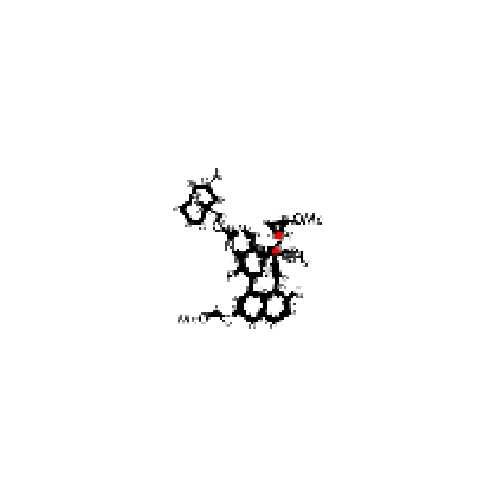 COCOc1cc(-c2nc(N(C)[C@@H]3C[C@H]3OC)c3cnc(OC[C@@]45CCCN4C[C@H](F)C5)nc3c2F)c2c(C#C[Si](C(C)C)(C(C)C)C(C)C)c(F)ccc2c1